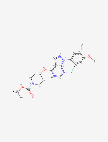 COc1cc(F)c(-n2ncc3c(OC4CCN(C(=O)OC(C)C)CC4)ncnc32)cc1F